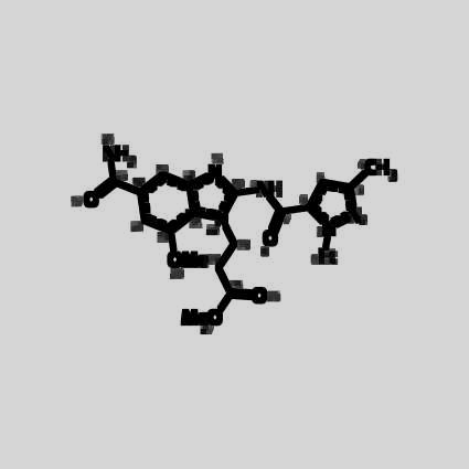 CCn1nc(C)cc1C(=O)Nc1nc2cc(C(N)=O)cc(OC)c2n1CCC(=O)OC